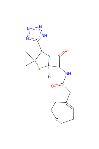 CC1(C)S[C@@H]2C(NC(=O)CC3=CCCCCC3)C(=O)N2C1c1nnn[nH]1